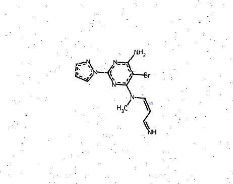 CN(/C=C\C=N)c1nc(-n2cccn2)nc(N)c1Br